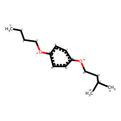 CCCCOc1ccc(OCCC(C)C)cc1